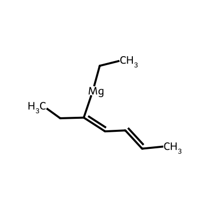 CC=CC=[C](CC)[Mg][CH2]C